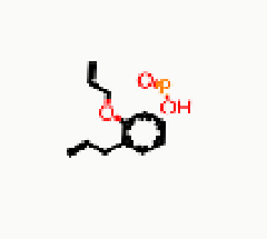 C=CCOc1ccccc1CC=C.O=PO